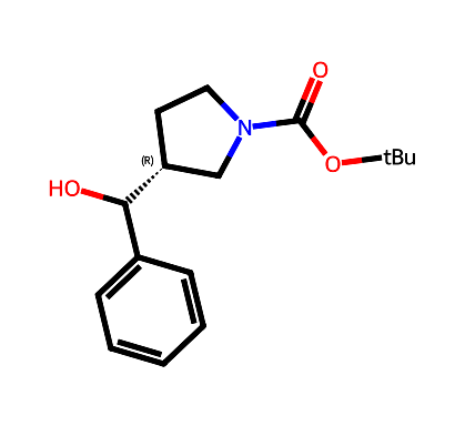 CC(C)(C)OC(=O)N1CC[C@@H](C(O)c2ccccc2)C1